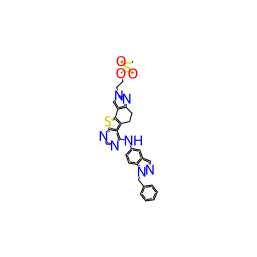 CS(=O)(=O)OCCn1cc2c(n1)CCc1c-2sc2ncnc(Nc3ccc4c(cnn4Cc4ccccc4)c3)c12